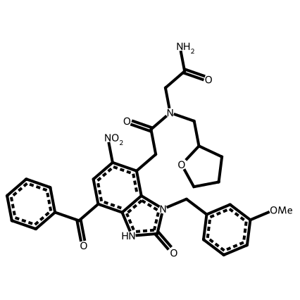 COc1cccc(Cn2c(=O)[nH]c3c(C(=O)c4ccccc4)cc([N+](=O)[O-])c(CC(=O)N(CC(N)=O)CC4CCCO4)c32)c1